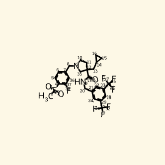 CS(=O)(=O)c1ccc(CN2CCC(CC3CC3)(C(=O)NCc3cc(C(F)(F)F)cc(C(F)(F)F)c3)C2)cc1F